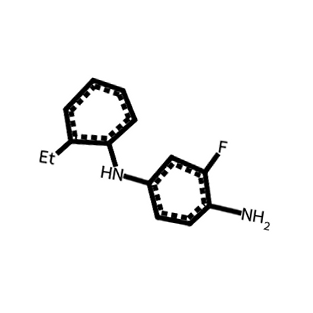 CCc1ccccc1Nc1ccc(N)c(F)c1